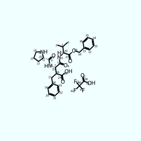 CC(C)[C@H](NC(=O)[C@@H](NC(=O)[C@@H]1CCCN1)C(Cc1ccccc1)C(=O)O)C(=O)OCc1ccccc1.O=C(O)C(F)(F)F